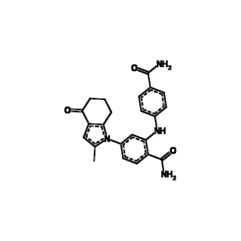 Cc1cc2c(n1-c1ccc(C(N)=O)c(Nc3ccc(C(N)=O)cc3)c1)CCCC2=O